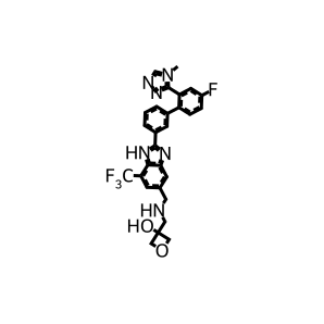 Cn1cnnc1-c1cc(F)ccc1-c1cccc(-c2nc3cc(CNCC4(O)COC4)cc(C(F)(F)F)c3[nH]2)c1